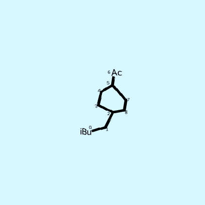 CCC(C)CC1CCC(C(C)=O)CC1